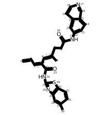 C=C/C=C(\C=C(/C)CCC(=O)Nc1ccc2cnccc2c1)C(=O)Nc1nc2cc(C)ccc2s1